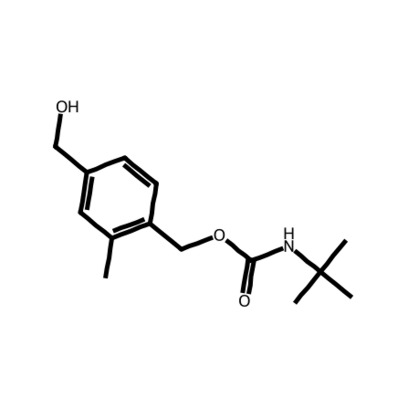 Cc1cc(CO)ccc1COC(=O)NC(C)(C)C